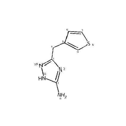 Nc1nc(Cc2ccsc2)n[nH]1